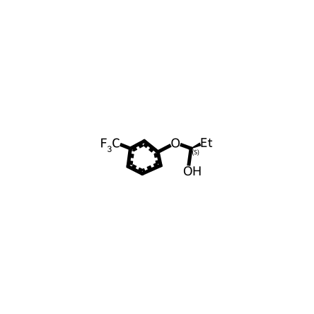 CC[C@@H](O)Oc1cccc(C(F)(F)F)c1